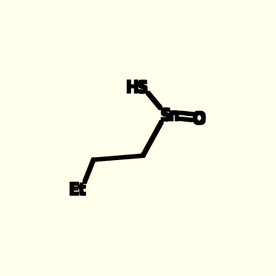 CCC[CH2][Sn](=[O])[SH]